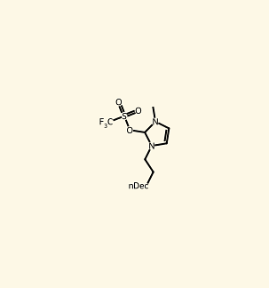 CCCCCCCCCCCCN1C=CN(C)C1OS(=O)(=O)C(F)(F)F